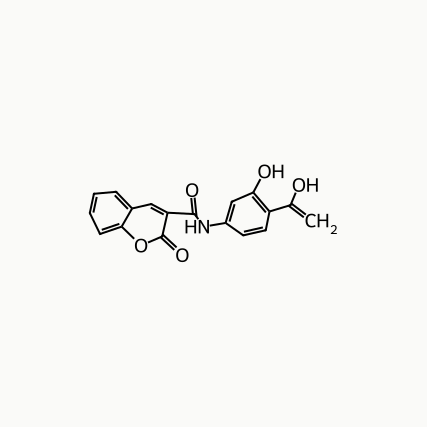 C=C(O)c1ccc(NC(=O)c2cc3ccccc3oc2=O)cc1O